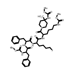 CC(C)(C)OC(=O)NCCCCC(NC(=O)C(CCCCF)NC(=O)C(Cc1ccccc1)NC(=O)C(Cc1ccccc1)NC(=O)OC(C)(C)C)C(=O)N1CCC(NC(=O)OC(C)(C)C)(C(=O)O)CC1